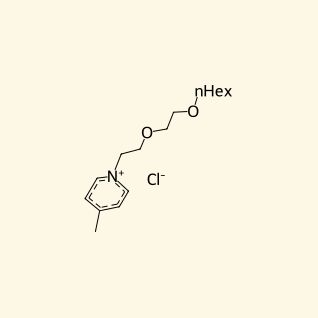 CCCCCCOCCOCC[n+]1ccc(C)cc1.[Cl-]